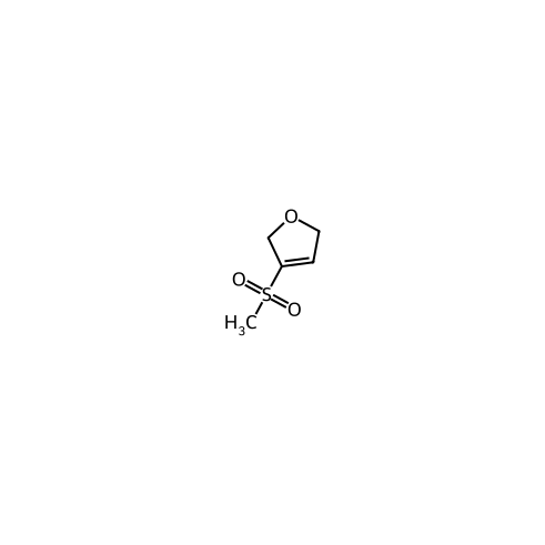 CS(=O)(=O)C1=CCOC1